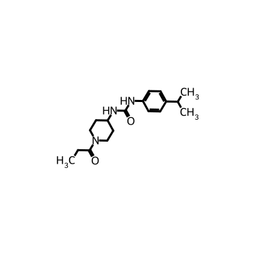 CCC(=O)N1CCC(NC(=O)Nc2ccc(C(C)C)cc2)CC1